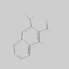 [O]c1c(C(Cl)Cl)c(C(Cl)Cl)cc2ccccc12